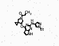 C=CC(=O)N1C[C@H](Oc2nc(Nc3cnn(CC)c3)nc3[nH]ccc23)C2(CC2)C1